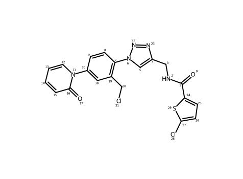 O=C(NCc1cn(-c2ccc(-n3ccccc3=O)cc2CCl)nn1)c1ccc(Cl)s1